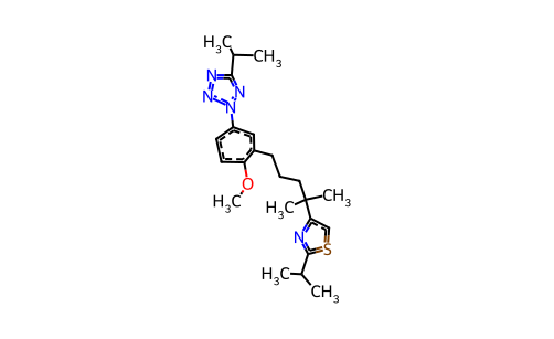 COc1ccc(-n2nnc(C(C)C)n2)cc1CCCC(C)(C)c1csc(C(C)C)n1